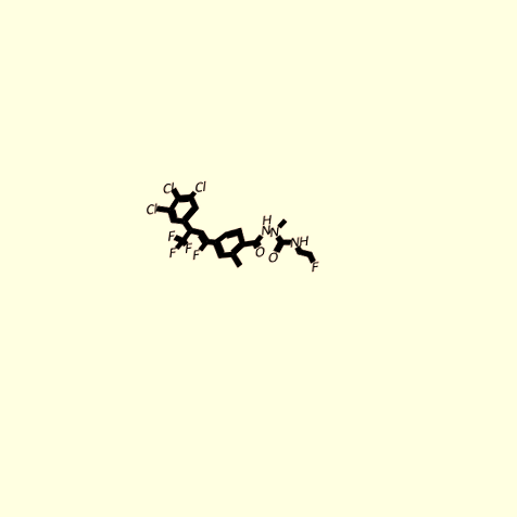 Cc1cc(/C(F)=C/C(c2cc(Cl)c(Cl)c(Cl)c2)C(F)(F)F)ccc1C(=O)NN(C)C(=O)NCCF